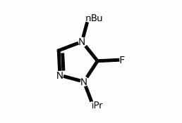 CCCCN1C=NN(C(C)C)C1F